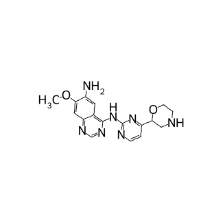 COc1cc2ncnc(Nc3nccc(C4CNCCO4)n3)c2cc1N